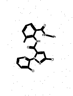 Cc1cccc(C(=O)NC(C)C)c1NC(=O)c1cc(Cl)nn1-c1ncccc1Cl